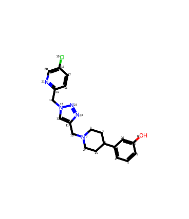 Oc1cccc(C2CCN(Cc3cn(Cc4ccc(Cl)cn4)nn3)CC2)c1